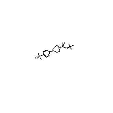 CC(C)(C)OC(=O)N1CCN(c2ccc(P(C)(C)=O)cn2)CC1